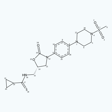 CS(=O)(=O)N1CCN(c2ccc(N3C[C@H](CNC(=S)C4CC4)OC3=O)cc2)CC1